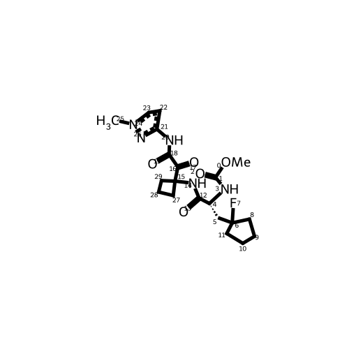 COC(=O)N[C@H](CC1(F)CCCC1)C(=O)NC1(C(=O)C(=O)Nc2ccn(C)n2)CCC1